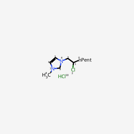 CCCCCC(Cl)CN1C=CN(C)C1.Cl